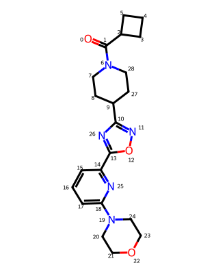 O=C(C1CCC1)N1CCC(c2noc(-c3cccc(N4CCOCC4)n3)n2)CC1